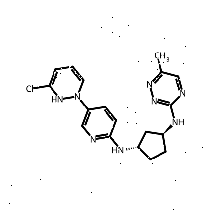 Cc1cnc(N[C@H]2CC[C@H](Nc3ccc(N4C=CC=C(Cl)N4)cn3)C2)nn1